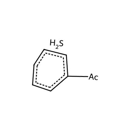 CC(=O)c1ccccc1.S